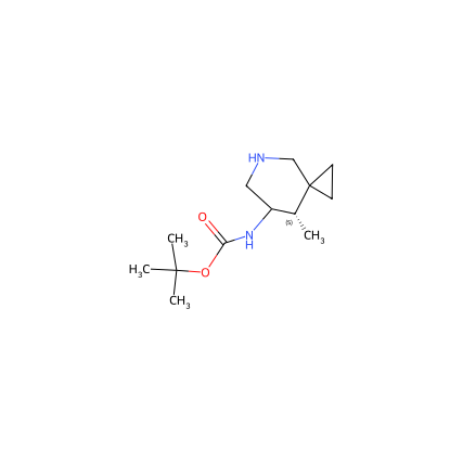 C[C@@H]1C(NC(=O)OC(C)(C)C)CNCC12CC2